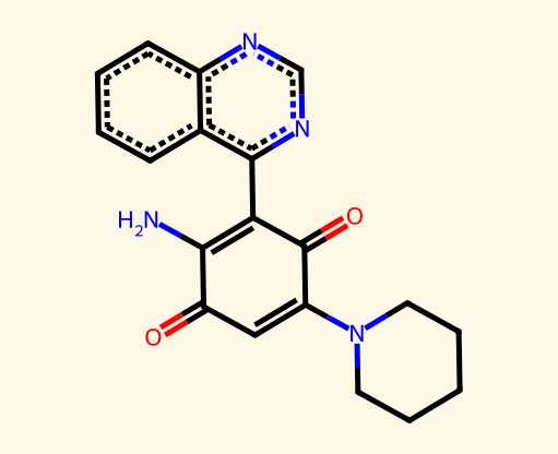 NC1=C(c2ncnc3ccccc23)C(=O)C(N2CCCCC2)=CC1=O